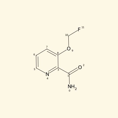 NC(=O)c1ncccc1OCF